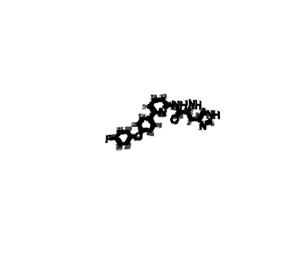 NC(Cc1c[nH]cn1)C(=O)Nc1cccc(-c2ccc(Oc3ccc(F)cc3)cc2)n1